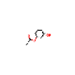 O=C(OC1CCC[C@H](O)C1)C(F)(F)F